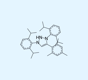 Cc1cc(C)c(C2=CN(c3c(C(C)C)cccc3C(C)C)NN2c2c(C(C)C)cccc2C(C)C)c(C)c1